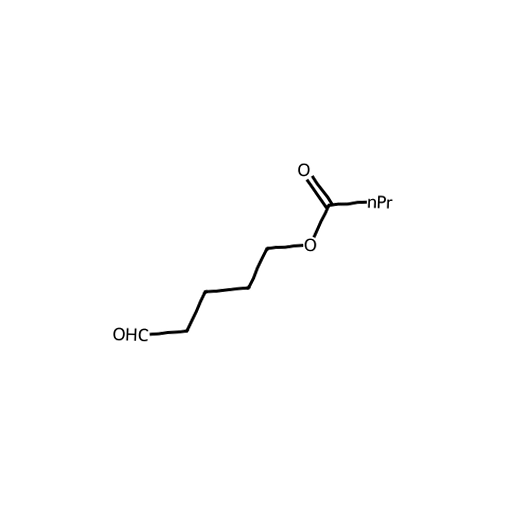 CCCC(=O)OCCCCC=O